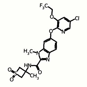 Cn1c(C(=O)NC2(C)CS(=O)(=O)C2)nc2ccc(Oc3ncc(Cl)cc3OCC(F)(F)F)cc21